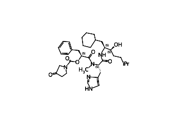 CC(C)CC[C@H](O)[C@H](CC1CCCCC1)NC(=O)[C@H](Cc1c[nH]cn1)N(C)C(=O)[C@H](Cc1ccccc1)OC(=O)N1CCC(=O)C1